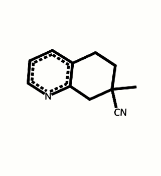 CC1(C#N)CCc2cccnc2C1